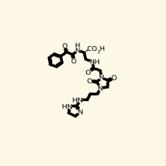 O=C(CN1C(=O)CN(CCCNC2=NCCN2)C1=O)NC[C@H](NC(=O)C(=O)c1ccccc1)C(=O)O